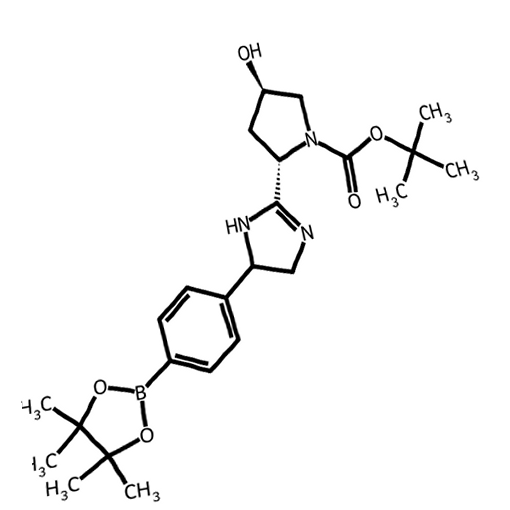 CC(C)(C)OC(=O)N1C[C@H](O)C[C@H]1C1=NCC(c2ccc(B3OC(C)(C)C(C)(C)O3)cc2)N1